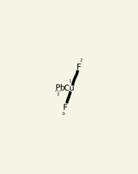 [F][Cu][F].[Pb]